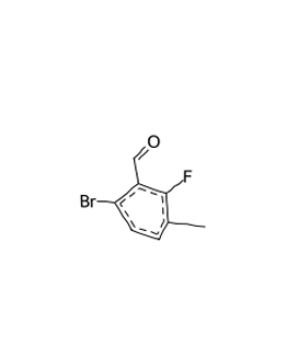 Cc1ccc(Br)c(C=O)c1F